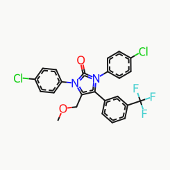 COCc1c(-c2cccc(C(F)(F)F)c2)n(-c2ccc(Cl)cc2)c(=O)n1-c1ccc(Cl)cc1